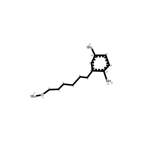 CC(C)(C)OCCCCCCc1cc(C(C)(C)C)ccc1N